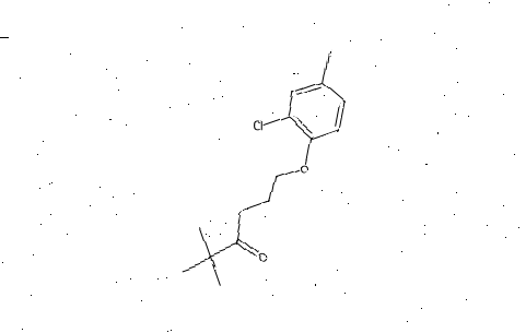 Cc1ccc(OCCCC(=O)C(C)(C)C)c(Cl)c1